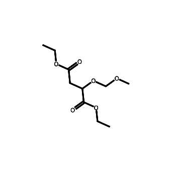 CCOC(=O)CC(OCOC)C(=O)OCC